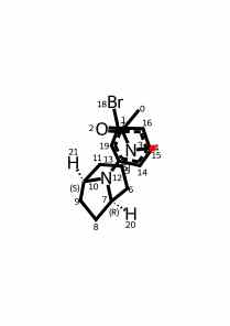 CC(=O)N(C)[C@@H]1C[C@H]2CC[C@@H](C1)N2c1cccc(Br)c1